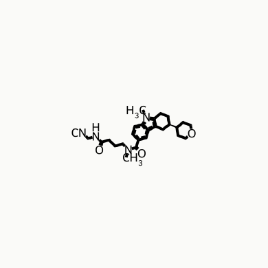 [C-]#[N+]CNC(=O)CCCN(C)C(=O)c1ccc2c(c1)c1c(n2C)CC[C@@H](C2CCOCC2)C1